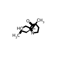 C=CC[C@@]1(CO)C(=O)C2(C)CCN1CC2